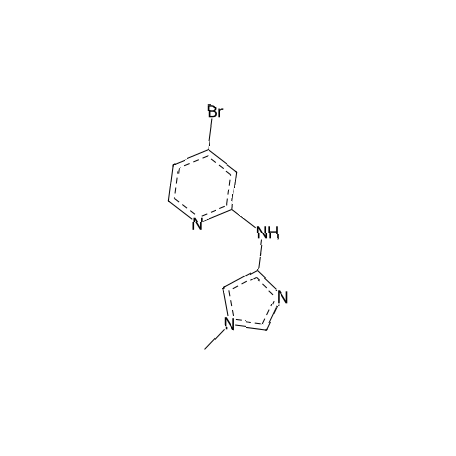 Cn1cnc(Nc2cc(Br)ccn2)c1